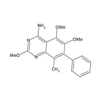 COc1nc(N)c2c(OC)c(OC)c(-c3ccccc3)c(C)c2n1